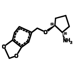 N[C@H]1CCC[C@@H]1OCc1ccc2c(c1)OCO2